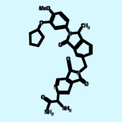 COc1ccc(N2C(=O)c3cc(CN4C(=O)c5cnc(C(N)C(N)=O)cc5C4=O)ccc3C2C)cc1OC1CCCC1